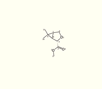 COC(=O)[C@H]1OCC2C1C2(C)C